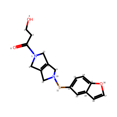 O=C(CCO)N1CC2=C(CN(Sc3ccc4occc4c3)C2)C1